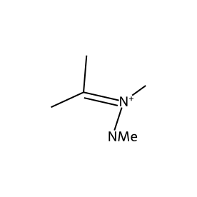 CN[N+](C)=C(C)C